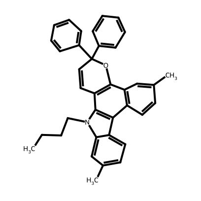 CCCCn1c2cc(C)ccc2c2c3ccc(C)cc3c3c(c21)C=CC(c1ccccc1)(c1ccccc1)O3